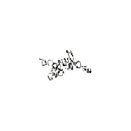 CCOc1ccc2c(c1)n(-c1ccccn1)n1c(=O)c3cnc(Nc4ccc(N5CCN(C)CC5)cc4)nc3nc21